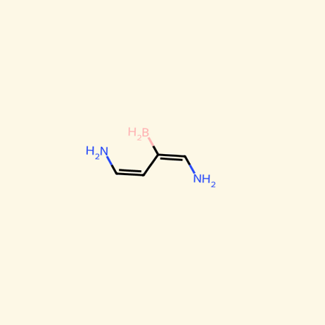 BC(/C=C\N)=C/N